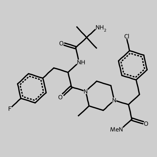 CNC(=O)C(Cc1ccc(Cl)cc1)N1CCN(C(=O)C(Cc2ccc(F)cc2)NC(=O)C(C)(C)N)C(C)C1